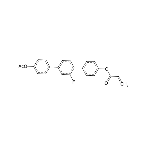 C=CC(=O)Oc1ccc(-c2ccc(-c3ccc(OC(C)=O)cc3)cc2F)cc1